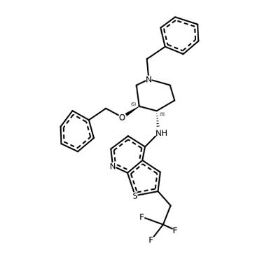 FC(F)(F)Cc1cc2c(N[C@H]3CCN(Cc4ccccc4)C[C@@H]3OCc3ccccc3)ccnc2s1